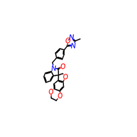 Cc1noc(-c2ccc(CN3C(=O)C4(COc5cc6c(cc54)OCCO6)c4ccccc43)cc2)n1